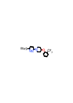 CSc1ccc(N2CCC(Oc3ccccc3C(F)(F)F)CC2)nn1